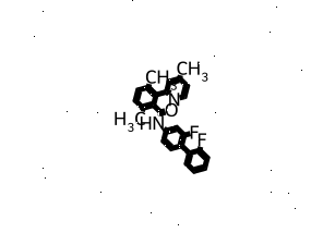 Cc1ccnc(-c2c(C)ccc(C)c2C(=O)Nc2ccc(-c3ccccc3F)c(F)c2)c1